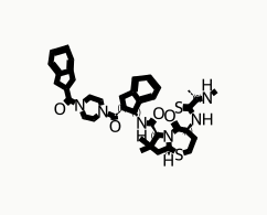 CN[C@@H](C)C(=S)N[C@H]1CCS[C@H]2CC(C)(C)[C@@H](C(=O)N[C@H]3c4ccccc4C[C@H]3C(=O)N3CCN(C(=O)C4Cc5ccccc5C4)CC3)N2C1=O